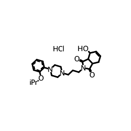 CC(C)Oc1ccccc1N1CCN(CCCN2C(=O)C3CC=CC(O)C3C2=O)CC1.Cl